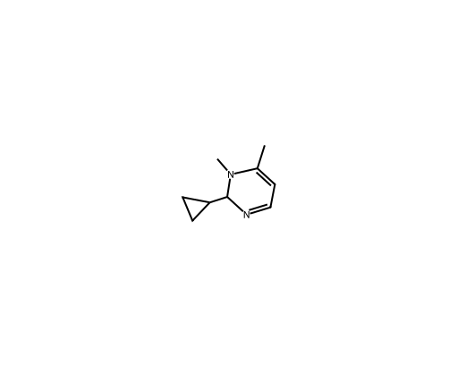 CC1=CC=NC(C2CC2)N1C